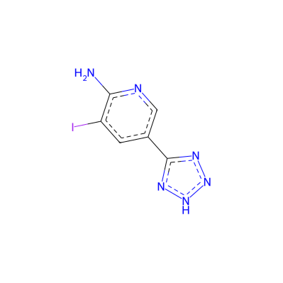 Nc1ncc(-c2nn[nH]n2)cc1I